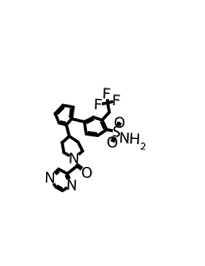 NS(=O)(=O)c1ccc(-c2ccccc2C2CCN(C(=O)c3cnccn3)CC2)cc1CC(F)(F)F